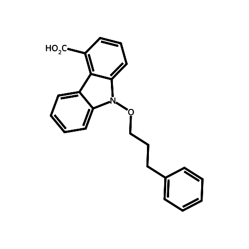 O=C(O)c1cccc2c1c1ccccc1n2OCCCc1ccccc1